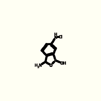 NC1OB(O)c2cc(NCl)ccc21